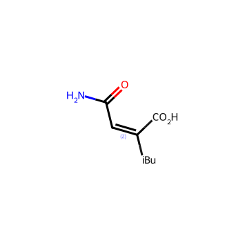 CCC(C)/C(=C/C(N)=O)C(=O)O